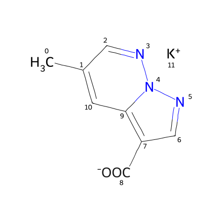 Cc1cnn2ncc(C(=O)[O-])c2c1.[K+]